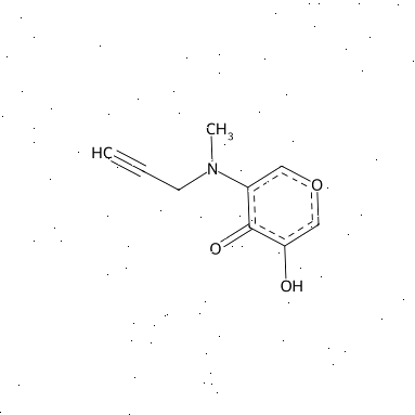 C#CCN(C)c1cocc(O)c1=O